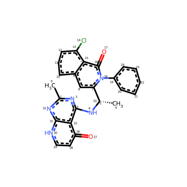 Cc1nc(N[C@@H](C)c2cc3cccc(Cl)c3c(=O)n2-c2ccccc2)c2c(=O)cc[nH]c2n1